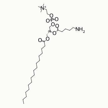 CCCCCCCCCCCCCCCCCC(=O)OC[C@H](COP(=O)([O-])OCC[N+](C)(C)C)OC(=O)CCCCN